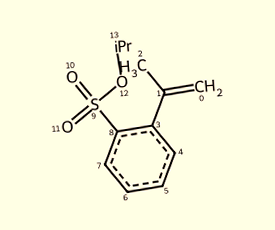 C=C(C)c1ccccc1S(=O)(=O)OC(C)C